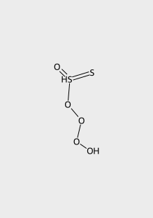 O=[SH](=S)OOOO